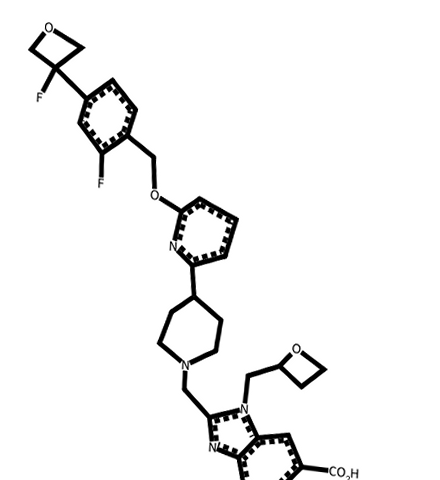 O=C(O)c1ccc2nc(CN3CCC(c4cccc(OCc5ccc(C6(F)COC6)cc5F)n4)CC3)n(CC3CCO3)c2c1